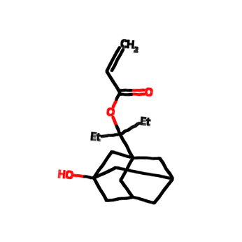 C=CC(=O)OC(CC)(CC)C12CC3CC(CC(O)(C3)C1)C2